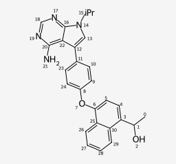 CC(O)c1ccc(Oc2ccc(-c3cn(C(C)C)c4ncnc(N)c34)cc2)c2ccccc12